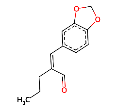 CCC/C(C=O)=C/c1ccc2c(c1)OCO2